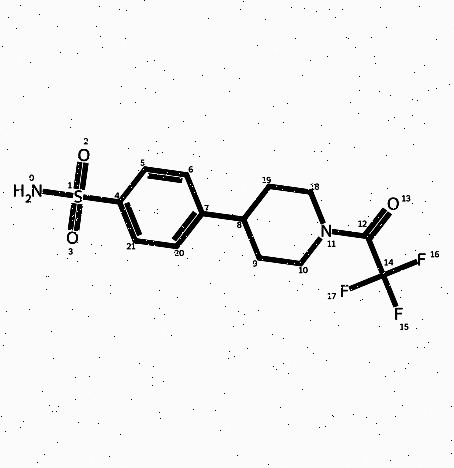 NS(=O)(=O)c1ccc(C2CCN(C(=O)C(F)(F)F)CC2)cc1